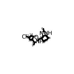 Cc1nc2c(C(=O)NC(C)C3=CC(Cl)=CC3)cccc2[nH]1